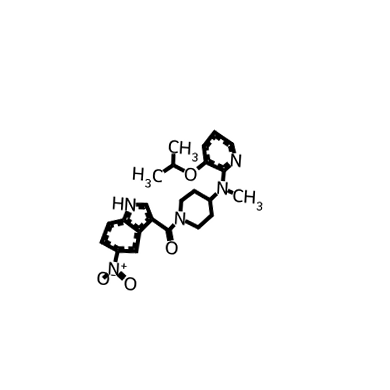 CC(C)Oc1cccnc1N(C)C1CCN(C(=O)c2c[nH]c3ccc([N+](=O)[O-])cc23)CC1